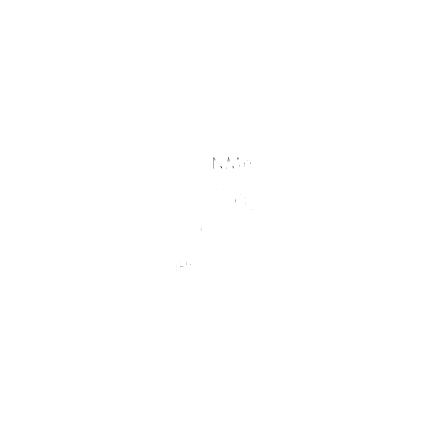 CNC(=O)CCCC(C)C